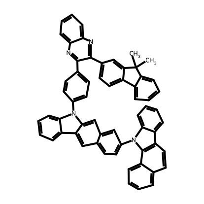 CC1(C)c2ccccc2-c2ccc(-c3nc4ccccc4nc3-c3ccc(-n4c5ccccc5c5cc6ccc(-n7c8ccccc8c8ccc9ccccc9c87)cc6cc54)cc3)cc21